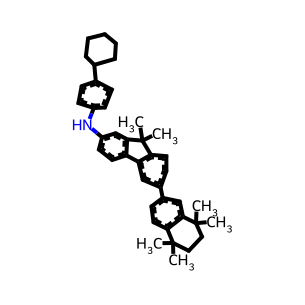 CC1(C)CCC(C)(C)c2cc(-c3ccc4c(c3)-c3ccc(Nc5ccc(C6CCCCC6)cc5)cc3C4(C)C)ccc21